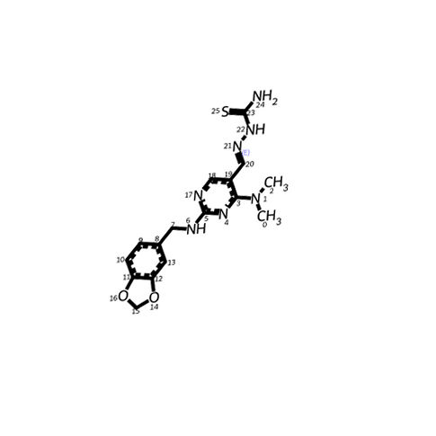 CN(C)c1nc(NCc2ccc3c(c2)OCO3)ncc1/C=N/NC(N)=S